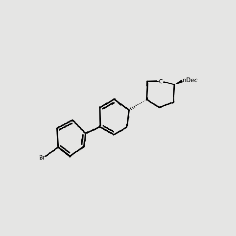 CCCCCCCCCC[C@H]1CC[C@H](C2C=CC(c3ccc(Br)cc3)=CC2)CC1